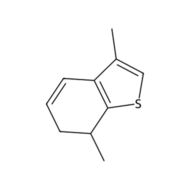 Cc1csc2c1C=CCC2C